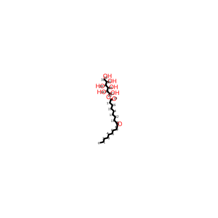 CCCCCCCCC1OC1CCCCCCCC(=O)OC(O)[C@H](O)[C@@H](O)[C@H](O)[C@H](O)CO